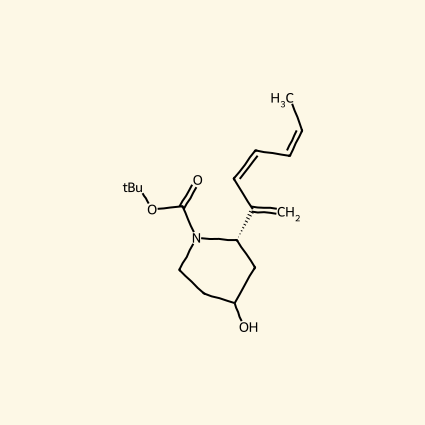 C=C(/C=C\C=C/C)[C@@H]1CC(O)CCN1C(=O)OC(C)(C)C